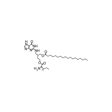 CCCCCCCCCCCCCCCCCC(=O)OCC(CCOC(=O)[C@@H](N)[C@@H](C)CC)CNc1nc2nc[nH]c2c(=O)[nH]1